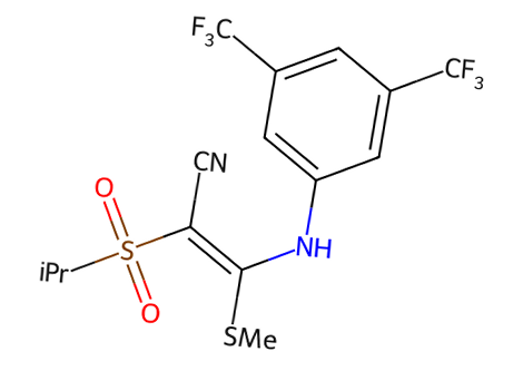 CSC(Nc1cc(C(F)(F)F)cc(C(F)(F)F)c1)=C(C#N)S(=O)(=O)C(C)C